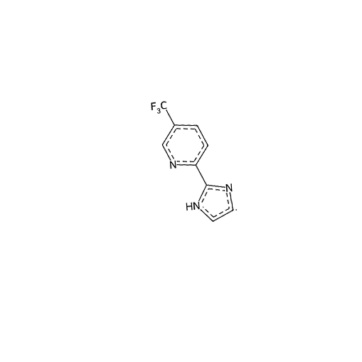 FC(F)(F)c1ccc(-c2n[c]c[nH]2)nc1